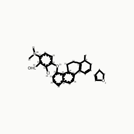 C1=COCC1.CC1CC=CC2=C1CCc1c2ccc2cccc(Oc3ccc(N(C)C)c(C=O)c3Cl)c12